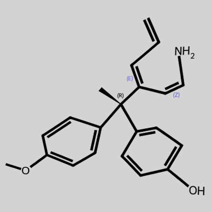 C=C/C=C(\C=C/N)[C@](C)(c1ccc(O)cc1)c1ccc(OC)cc1